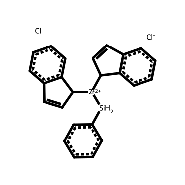 C1=C[CH]([Zr+2]([SiH2]c2ccccc2)[CH]2C=Cc3ccccc32)c2ccccc21.[Cl-].[Cl-]